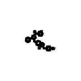 O=C(c1cccnc1)N1CC(CN2CCC3(CC2)CCN(Cc2ccc(Br)cc2)C3=O)C(c2ccccc2)C1